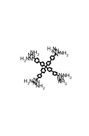 Nc1nc(N)nc(-c2ccc(-c3ccc(C(c4ccc(-c5ccc(-c6nc(N)nc(N)n6)cc5)cc4)(c4ccc(-c5ccc(-c6nc(N)nc(N)n6)cc5)cc4)c4ccc(-c5ccc(-c6nc(N)nc(N)n6)cc5)cc4)cc3)cc2)n1